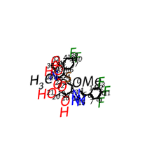 CO[C@@H]1[C@@H](n2cc(-c3cc(F)c(F)c(F)c3)nn2)[C@@H](O)[C@@H](CO)O[C@H]1S[C@H](C(=O)N(C)C1COC1)C1(O)CCC(F)(F)CC1